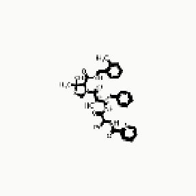 Cc1ccccc1CNC(=O)C1N(C(=O)[C@@H](O)[C@H](Cc2ccccc2)NC(=O)C(NC(=O)c2ccccn2)C(C)C)CSC1(C)C